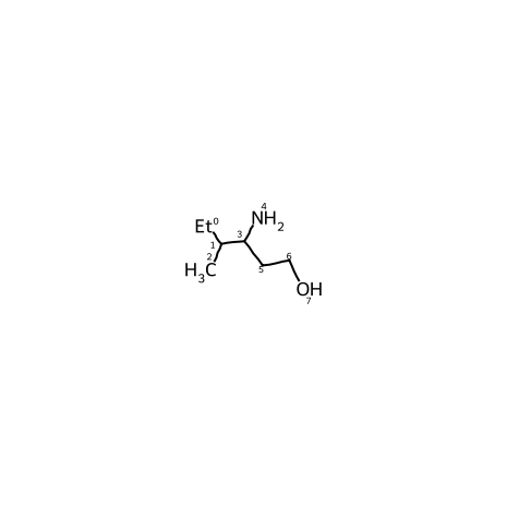 CCC(C)C(N)CCO